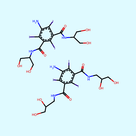 Nc1c(I)c(C(=O)NC(CO)CO)c(I)c(C(=O)NC(CO)CO)c1I.Nc1c(I)c(C(=O)NCC(O)CO)c(I)c(C(=O)NCC(O)CO)c1I